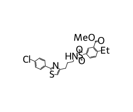 CCc1ccc(S(=O)(=O)NCCCc2csc(-c3ccc(Cl)cc3)n2)cc1C(=O)OC